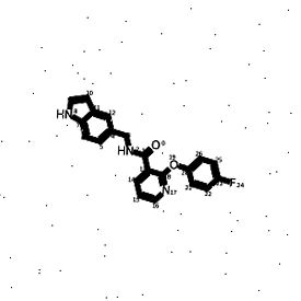 O=C(NCc1ccc2[nH]ccc2c1)c1cccnc1Oc1ccc(F)cc1